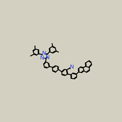 Cc1cc(C)cc(-c2nc(-c3cc(C)cc(C)c3)nc(-c3cccc(-c4ccc(-c5ccc(-c6cccc(-c7ccc8c(ccc9ccccc98)c7)c6)c(C#N)c5)cc4)c3)n2)c1